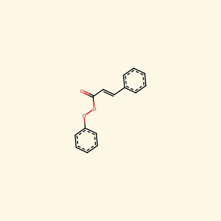 O=C(/C=C/c1ccccc1)OOc1ccccc1